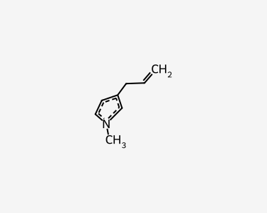 C=CCc1ccn(C)c1